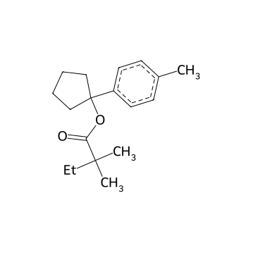 CCC(C)(C)C(=O)OC1(c2ccc(C)cc2)CCCC1